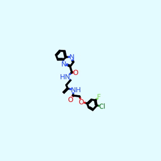 C=C(CCNC(=O)c1cnc2ccccc2n1)NC(=O)COc1ccc(Cl)c(F)c1